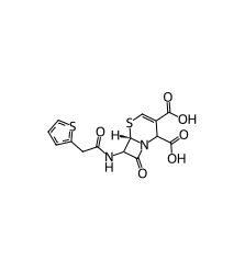 O=C(Cc1cccs1)NC1C(=O)N2C(C(=O)O)C(C(=O)O)=CS[C@@H]12